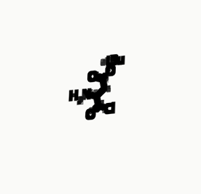 CC(C)(C)OC(=O)CC(N)C(=O)Cl